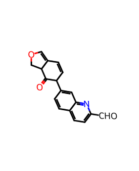 O=Cc1ccc2ccc(C3C=CC4=COCC4C3=O)cc2n1